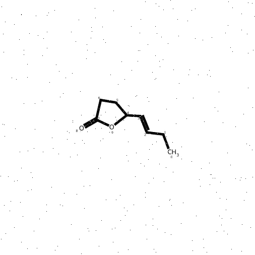 CCC=CC1CCC(=O)O1